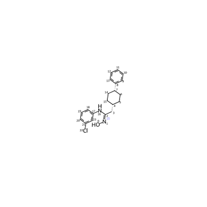 O/N=C(/C[C@H]1CC[C@@H](c2ccccc2)CC1)Nc1cccc(Cl)c1